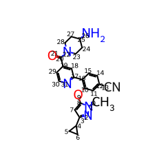 Cn1nc(C2CC2)cc1Oc1cc(C#N)ccc1-c1cc(C(=O)N2CCC(N)CC2)ccn1